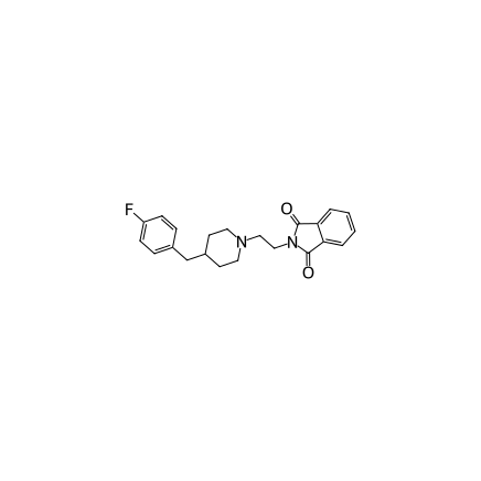 O=C1c2ccccc2C(=O)N1CCN1CCC(Cc2ccc(F)cc2)CC1